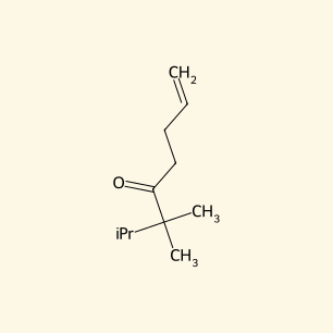 C=CCCC(=O)C(C)(C)C(C)C